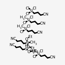 CC(C)(C)O[SiH2]CCCC#N.CCO[Si](C)(CCCC#N)OCC.C[Si](Cl)(Cl)CCCC#N.C[Si](Cl)(Cl)CCCC#N.C[Si](Cl)(Cl)CCCC#N.N#CCCC[Si](Cl)(Cl)Cl